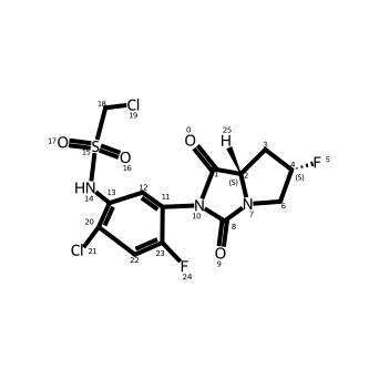 O=C1[C@@H]2C[C@H](F)CN2C(=O)N1c1cc(NS(=O)(=O)CCl)c(Cl)cc1F